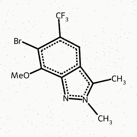 COc1c(Br)c(C(F)(F)F)cc2c(C)n(C)nc12